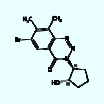 Cc1c(Br)cc2c(=O)n([C@H]3CCC[C@@H]3O)nnc2c1C